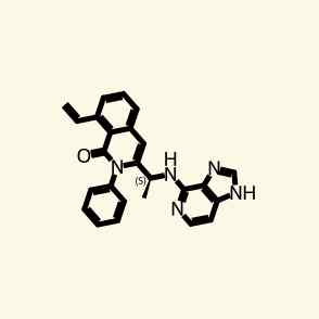 C=Cc1cccc2cc([C@H](C)Nc3nccc4[nH]cnc34)n(-c3ccccc3)c(=O)c12